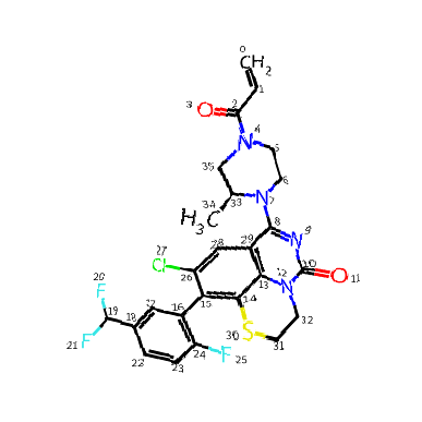 C=CC(=O)N1CCN(c2nc(=O)n3c4c(c(-c5cc(C(F)F)ccc5F)c(Cl)cc24)SCC3)[C@@H](C)C1